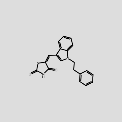 O=C1NC(=O)C(=Cc2cn(CCc3ccccc3)c3ccccc23)S1